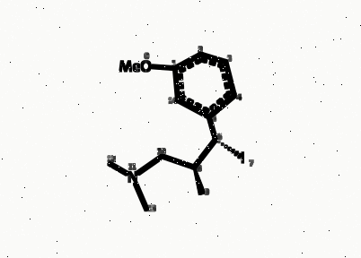 COc1cccc([C@H](I)[C@@H](C)CN(C)C)c1